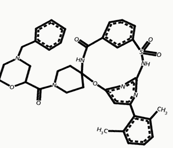 Cc1cccc(C)c1-c1cc2nc(n1)NS(=O)(=O)c1cccc(c1)C(=O)NC1(CCN(C(=O)C3CN(Cc4ccccc4)CCO3)CC1)O2